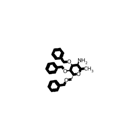 CC1O[C@H](COCc2ccccc2)[C@@H](OCc2ccccc2)[C@H](OCc2ccccc2)[C@H]1N